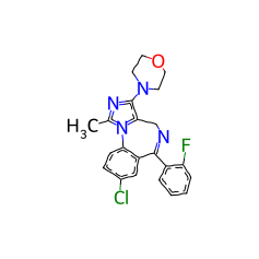 Cc1nc(N2CCOCC2)c2n1-c1ccc(Cl)cc1C(c1ccccc1F)=NC2